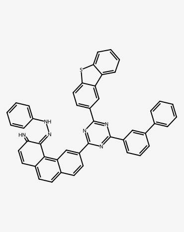 N=C1C=Cc2ccc3ccc(-c4nc(-c5cccc(-c6ccccc6)c5)nc(-c5ccc6sc7ccccc7c6c5)n4)cc3c2/C1=N/Nc1ccccc1